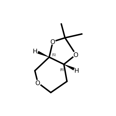 CC1(C)O[C@H]2COCC[C@H]2O1